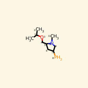 CC(C)OCC1CC(P)CN1C